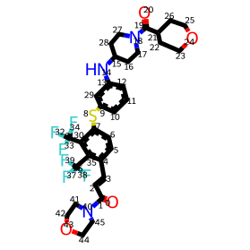 O=C(/C=C/c1ccc(Sc2cccc(NC3CCN(C(=O)C4CCOCC4)CC3)c2)c(C(F)(F)F)c1C(F)(F)F)N1CCOCC1